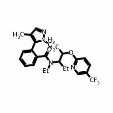 CCC(C(C)Oc1ccc(C(F)(F)F)cn1)N(CC)C(=O)c1ccccc1-c1c(C)cnn1C